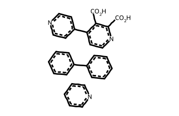 O=C(O)c1nccc(-c2ccncc2)c1C(=O)O.c1ccc(-c2ccccc2)cc1.c1ccncc1